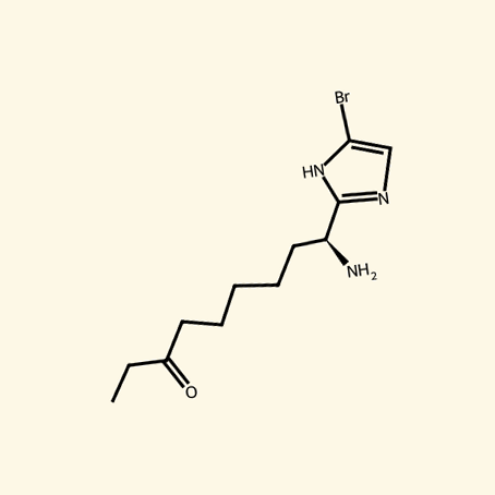 CCC(=O)CCCCC[C@H](N)c1ncc(Br)[nH]1